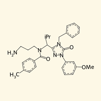 COc1cccc(-n2nc(C(C(C)C)N(CCCN)C(=O)c3ccc(C)cc3)n(Cc3ccccc3)c2=O)c1